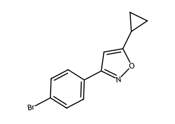 Brc1ccc(-c2cc(C3CC3)on2)cc1